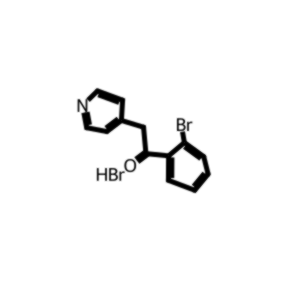 Br.O=C(Cc1ccncc1)c1ccccc1Br